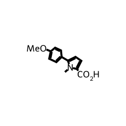 COc1ccc(-c2ccc(C(=O)O)n2C)cc1